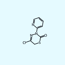 O=C1SCC(Cl)=NN1c1ccccn1